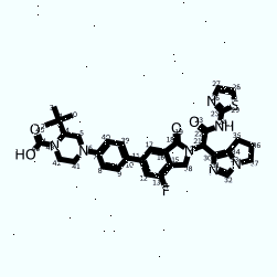 CC(C)(C)C1CN(c2ccc(-c3cc(F)c4c(c3)C(=O)N(C(C(=O)Nc3nccs3)c3ncn5c3CCC5)C4)cc2)CCN1C(=O)O